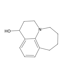 OC1CCN2CCCCc3cccc1c32